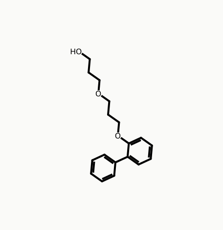 OCCCOCCCOc1ccccc1-c1ccccc1